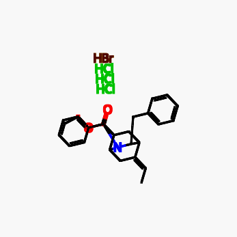 Br.CC=C1CC2C(C(=O)OCC)CC1C(Cc1ccccc1)N2Cc1ccccc1.Cl.Cl.Cl